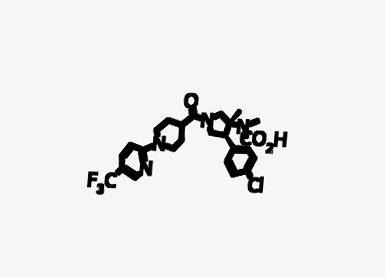 CN(C(=O)O)[C@@]1(C)CN(C(=O)C2CCN(c3ccc(C(F)(F)F)cn3)CC2)C[C@@H]1c1ccc(Cl)cc1